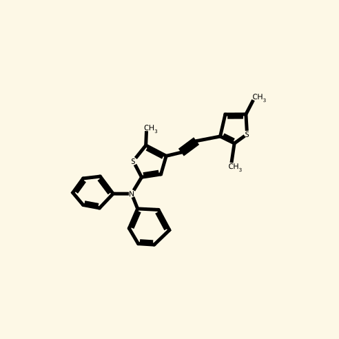 Cc1cc(C#Cc2cc(N(c3ccccc3)c3ccccc3)sc2C)c(C)s1